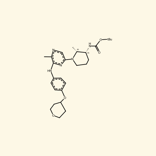 Cc1ncc(N2CCC[C@@H](NC(=O)OC(C)(C)C)[C@H]2C)nc1Nc1ccc(OC2CCOCC2)cc1